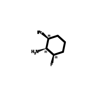 CC(C)[C@H]1CCC[C@@H](F)[C@@H]1N